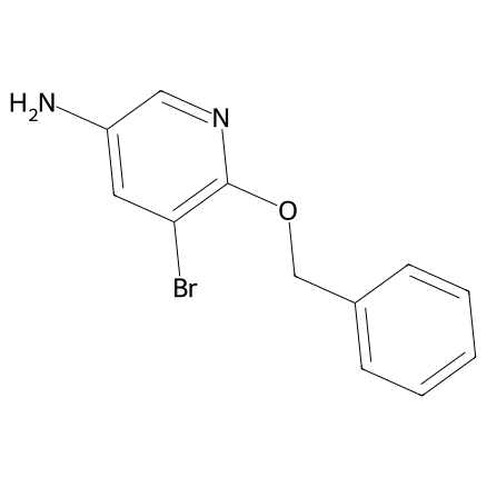 Nc1cnc(OCc2ccccc2)c(Br)c1